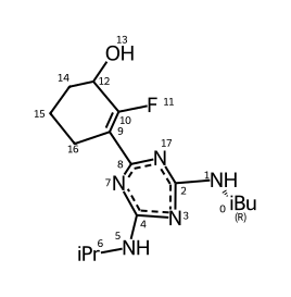 CC[C@@H](C)Nc1nc(NC(C)C)nc(C2=C(F)C(O)CCC2)n1